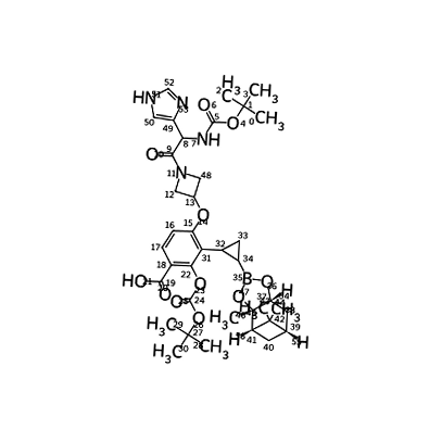 CC(C)(C)OC(=O)NC(C(=O)N1CC(Oc2ccc(C(=O)O)c(OC(=O)OC(C)(C)C)c2C2CC2B2O[C@@H]3C[C@@H]4C[C@@H](C4(C)C)[C@]3(C)O2)C1)c1c[nH]cn1